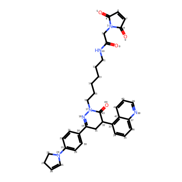 O=C(CN1C(=O)C=CC1=O)NCCCCCCN1N=C(c2ccc(N3C=CCC3)cc2)CC(c2cccc3ncccc23)C1=O